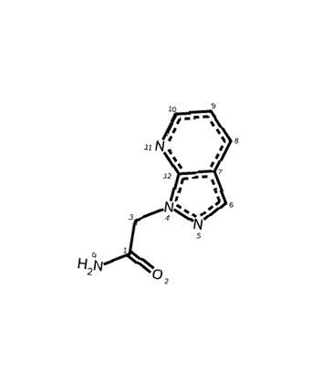 NC(=O)Cn1ncc2cccnc21